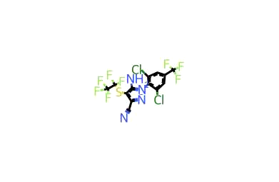 N#Cc1nn(-c2c(Cl)cc(C(F)(F)F)cc2Cl)c(N)c1SC(F)(F)C(F)(F)F